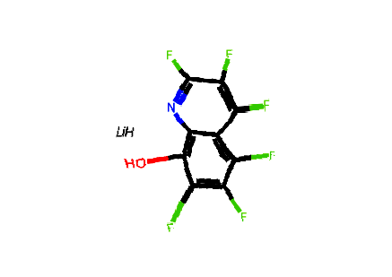 Oc1c(F)c(F)c(F)c2c(F)c(F)c(F)nc12.[LiH]